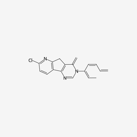 C=C/C=C\C(=C/C)N1C=NC2=C(Cc3nc(Cl)ccc32)C1=C